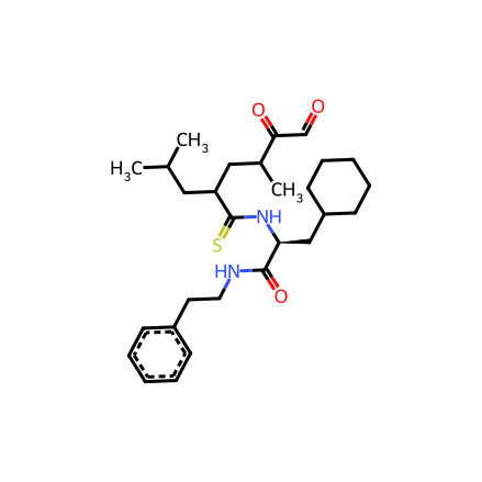 CC(C)CC(CC(C)C(=O)C=O)C(=S)N[C@@H](CC1CCCCC1)C(=O)NCCc1ccccc1